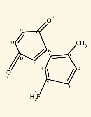 Cc1ccc(P)cc1.O=C1C=CC(=O)C=C1